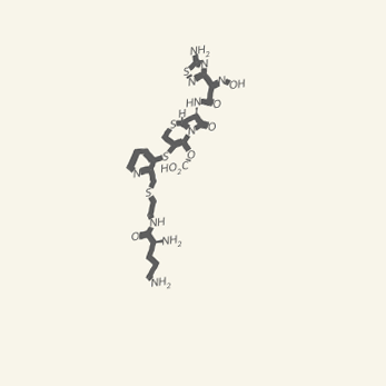 NCCC[C@H](N)C(=O)NCCSCc1ncccc1SC1=C(OC(=O)O)N2C(=O)[C@@H](NC(=O)/C(=N\O)c3nsc(N)n3)[C@@H]2SC1